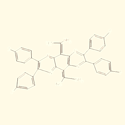 N#CC(N)=c1c2nc(-c3ccc(F)cc3)c(-c3ccc(F)cc3)nc2c(=C(N)N)c2nc(-c3ccc(F)cc3)c(-c3ccc(F)cc3)nc12